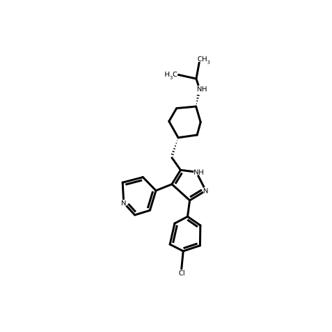 CC(C)N[C@H]1CC[C@@H](Cc2[nH]nc(-c3ccc(Cl)cc3)c2-c2ccncc2)CC1